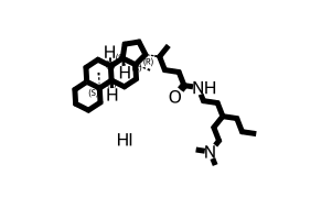 CCCC(CCNC(=O)CCC(C)[C@H]1CC[C@H]2[C@@H]3CCC4CCCC[C@]4(C)[C@H]3CC[C@]12C)CCN(C)C.I